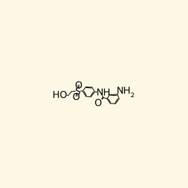 Nc1cccc(C(=O)Nc2ccc(S(=O)(=O)CCO)cc2)c1